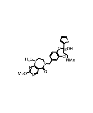 CNCC[C@@](O)(Oc1ccc(CN2CCN(C)c3nc(OC)ncc3C2=O)cc1Cl)c1cccs1